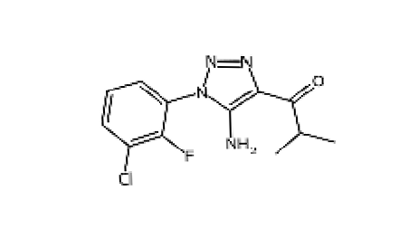 CC(C)C(=O)c1nnn(-c2cccc(Cl)c2F)c1N